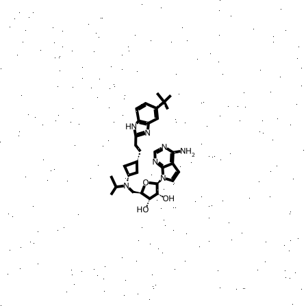 CC(C)N(C[C@H]1O[C@@H](n2ccc3c(N)ncnc32)[C@H](O)[C@@H]1O)[C@H]1C[C@@H](CCc2nc3cc(C(C)(C)C)ccc3[nH]2)C1